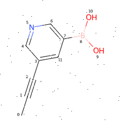 CC#Cc1cncc(B(O)O)c1